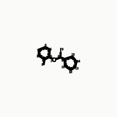 Cc1ccccc1OC(I)c1ccccc1